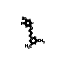 CC1CC(C)CN(CCCOc2ccc(Br)c(F)c2)C1